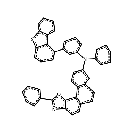 c1ccc(-c2nc3ccc4ccc5cc(N(c6ccccc6)c6cccc(-c7cccc8sc9ccccc9c78)c6)ccc5c4c3o2)cc1